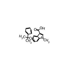 CC(C)(C)c1ccccc1.Cn1cc(C(=O)O)c2ccccc21